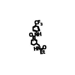 CCC(=O)NCC1CCCN(C(=O)Nc2ccc(C(F)(F)F)cc2)C1